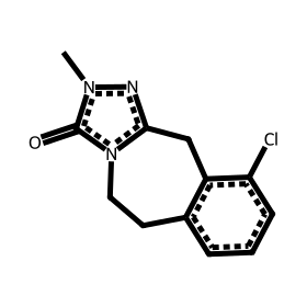 Cn1nc2n(c1=O)CCc1cccc(Cl)c1C2